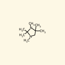 CN1CC(C)(C)N(C)C1(C)C